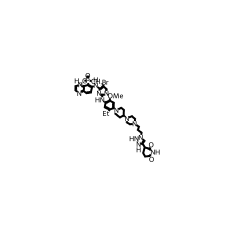 CCc1cc(Nc2ncc(Br)c(Nc3ccc4nccnc4c3P(C)(C)=O)n2)c(OC)cc1N1CCC(N2CCN(CCCN3C=C(C4CCC(=O)NC4=O)NN3)CC2)CC1